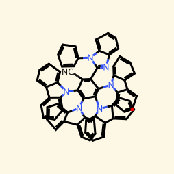 N#Cc1c(-c2nc3ccccc3n2-c2ccccc2)c(-n2c3ccccc3c3ccccc32)c(-n2c3ccccc3c3ccccc32)c(-n2c3ccccc3c3ccccc32)c1-n1c2ccccc2c2ccccc21